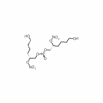 O=[N+]([O-])O[C@H](CCCCO)CO[N+](=O)OC[C@@H](CCCCO)O[N+](=O)[O-]